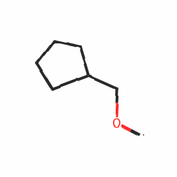 [CH2]OCC1CCCC1